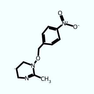 CC1=NC[CH]CN1OCc1ccc([N+](=O)[O-])cc1